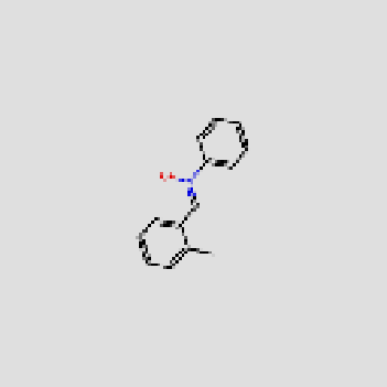 Cc1ccccc1C=[N+]([O-])c1ccccc1